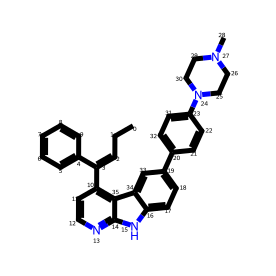 CCC=C(c1ccccc1)c1ccnc2[nH]c3ccc(-c4ccc(N5CCN(C)CC5)cc4)cc3c12